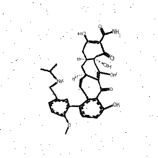 COc1ccc(CNC(C)C)cc1-c1ccc(O)c2c1C[C@H]1C[C@H]3CC(O)=C(C(N)=O)C(=O)[C@@]3(O)C(O)=C1C2=O